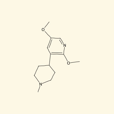 COc1cnc(OC)c(C2CCN(C)CC2)c1